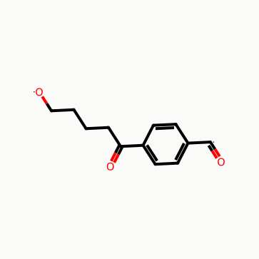 [O]CCCCC(=O)c1ccc([C]=O)cc1